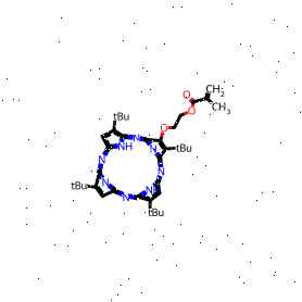 C=C(C)C(=O)OCCOC1=C(C(C)(C)C)c2nc1nc1[nH]c(cc1C(C)(C)C)nc1nc(nc3[nH]c(cc3C(C)(C)C)n2)C=C1C(C)(C)C